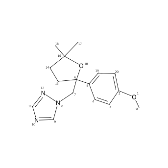 COc1ccc(C2(Cn3cncn3)CCC(C)(C)O2)cc1